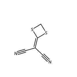 N#CC(C#N)=C1SCS1